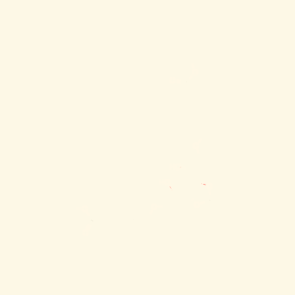 COC(=O)c1ccc(COC[C@@H](O)[C@H]2OC(C)(C)O[C@@H]2[C@H](O)COCc2ccc(C(=O)OC)cc2)cc1